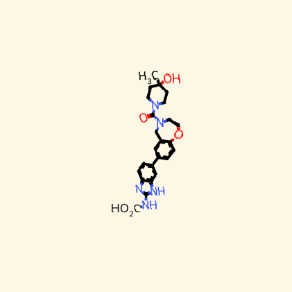 CC1(O)CCN(C(=O)N2CCOc3ccc(-c4ccc5nc(NC(=O)O)[nH]c5c4)cc3C2)CC1